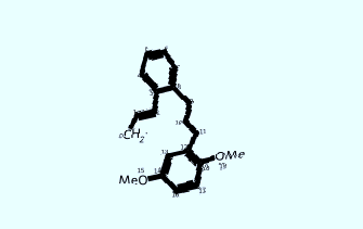 [CH2]/C=C/c1ccccc1CCCc1cc(OC)ccc1OC